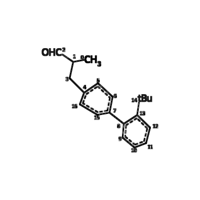 CC(C=O)Cc1ccc(-c2ccccc2C(C)(C)C)cc1